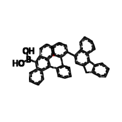 OB(O)c1c2ccccc2c(-c2ccccc2-c2ccccc2-c2cc3c(c4ccccc24)-c2ccccc2C3)c2ccccc12